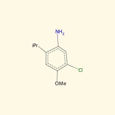 COc1cc(C(C)C)c(N)cc1Cl